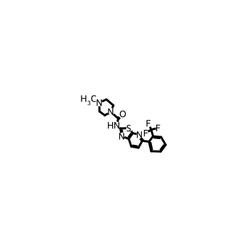 CN1CCN(C(=O)Nc2nc3ccc(-c4ccccc4C(F)(F)F)nc3s2)CC1